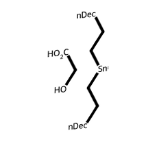 CCCCCCCCCCC[CH2][Sn][CH2]CCCCCCCCCCC.O=C(O)CO